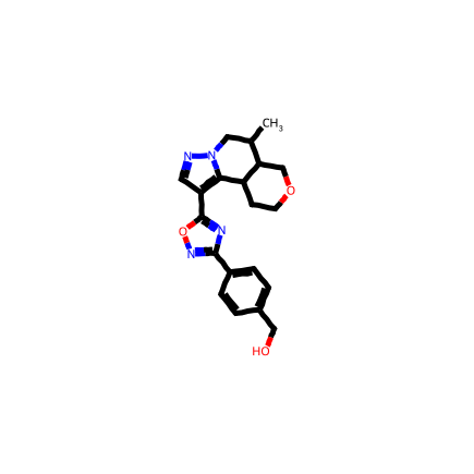 CC1Cn2ncc(-c3nc(-c4ccc(CO)cc4)no3)c2C2CCOCC12